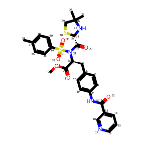 COC(=O)[C@H](Cc1ccc(NC(=O)c2cccnc2)cc1)N(C(=O)[C@H]1NC(C)(C)CS1)S(=O)(=O)c1ccc(C)cc1